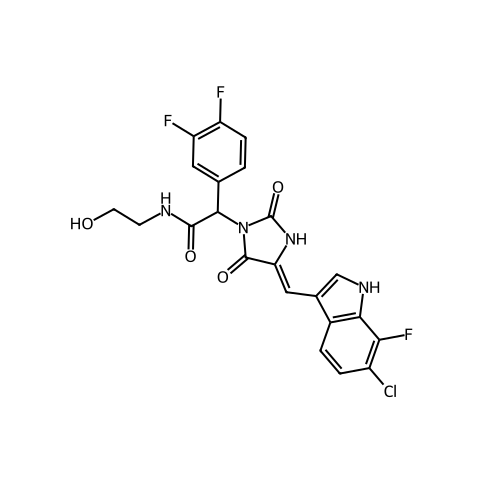 O=C(NCCO)C(c1ccc(F)c(F)c1)N1C(=O)N/C(=C\c2c[nH]c3c(F)c(Cl)ccc23)C1=O